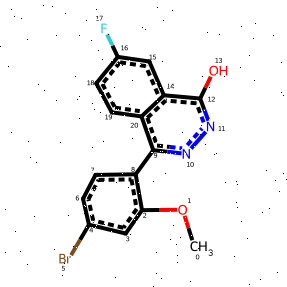 COc1cc(Br)ccc1-c1nnc(O)c2cc(F)ccc12